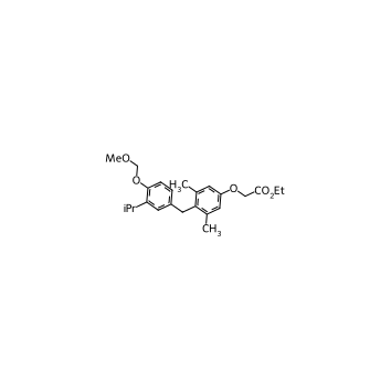 CCOC(=O)COc1cc(C)c(Cc2ccc(OCOC)c(C(C)C)c2)c(C)c1